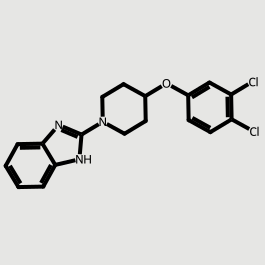 Clc1ccc(OC2CCN(c3nc4ccccc4[nH]3)CC2)cc1Cl